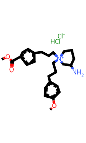 COC(=O)c1ccc(CCC[N+]2(CCCc3ccc(OC)cc3)CCCC(N)C2)cc1.Cl.[Cl-]